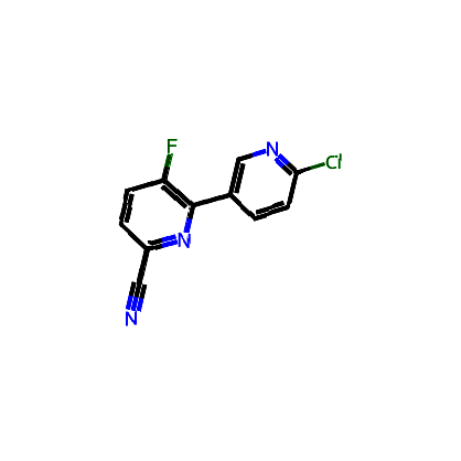 N#Cc1ccc(F)c(-c2ccc(Cl)nc2)n1